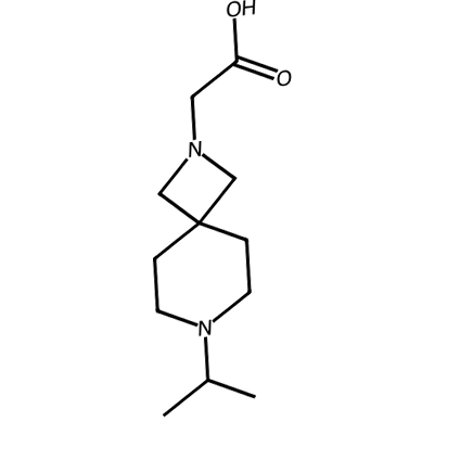 CC(C)N1CCC2(CC1)CN(CC(=O)O)C2